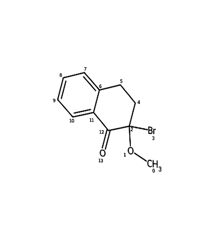 COC1(Br)CCc2ccccc2C1=O